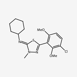 COc1ccc(Cl)c(OC)c1-c1nn(C)c(=NC2CCCCC2)s1